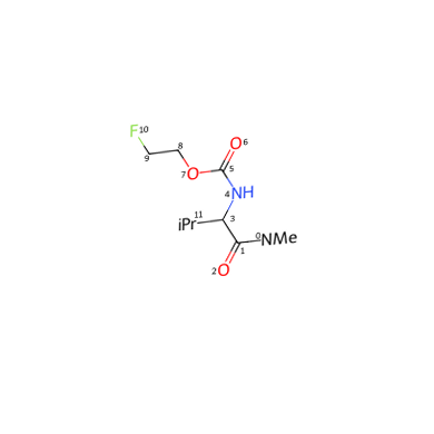 CNC(=O)C(NC(=O)OCCF)C(C)C